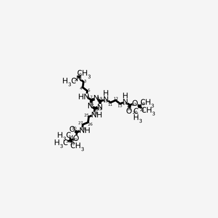 CN(C)CCCNc1nc(NCCCNC(=O)OC(C)(C)C)nc(NCCCNC(=O)OC(C)(C)C)n1